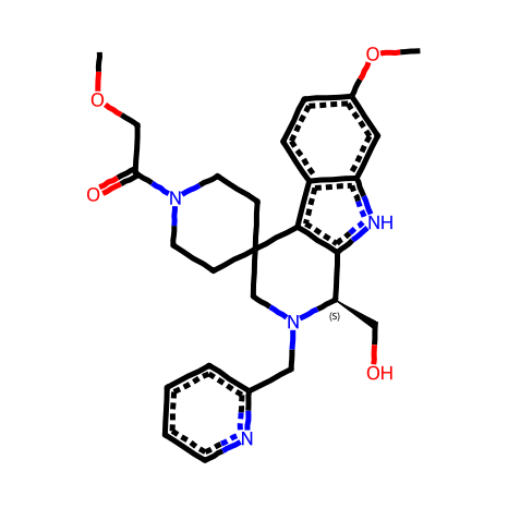 COCC(=O)N1CCC2(CC1)CN(Cc1ccccn1)[C@H](CO)c1[nH]c3cc(OC)ccc3c12